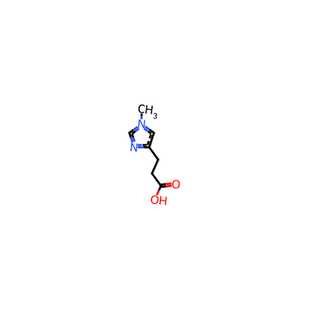 Cn1cnc(CCC(=O)O)c1